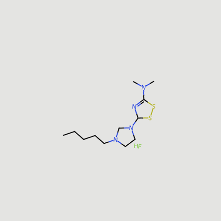 CCCCCN1CCN(C2N=C(N(C)C)SS2)C1.F